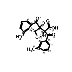 Cc1cccc(C(=O)C(O)(C(=O)O)C(O)(C(=O)O)C(=O)c2cccc(C)c2)c1